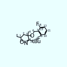 CC1CC(C)(OCc2c(F)cccc2F)C(C(C)(C)C)=NO1